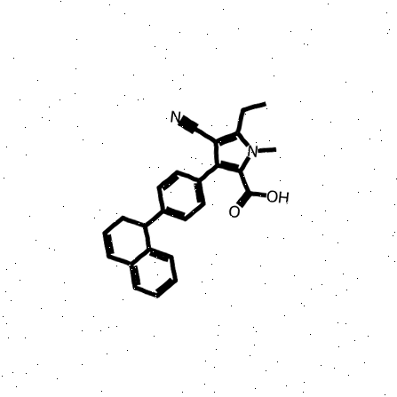 CCc1c(C#N)c(-c2ccc(C3CC=Cc4ccccc43)cc2)c(C(=O)O)n1C